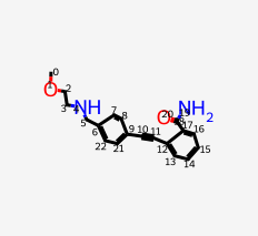 COCCNCc1ccc(C#Cc2ccccc2C(N)=O)cc1